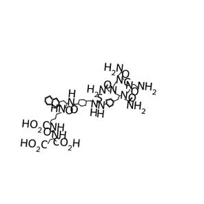 NC(=O)CN1CCN(CC(N)=O)CCN(CC(N)=O)C(Cc2ccc(NC(=S)NCC3CCC(C(=O)NC(Cc4ccc5ccccc5c4)C(=O)NCCCCC(NC(=O)NC(CCC(=O)O)C(=O)O)C(=O)O)CC3)cc2)CN(CC(N)=O)CC1